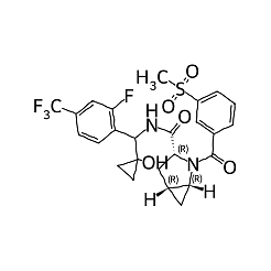 CS(=O)(=O)c1cccc(C(=O)N2[C@@H](C(=O)NC(c3ccc(C(F)(F)F)cc3F)C3(O)CC3)C[C@H]3C[C@H]32)c1